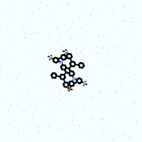 C[Si](C)(C)c1ccc2c(c1)c1cc([Si](C)(C)C)ccc1n2-c1ccc2c(-c3cc(-c4ccccc4)cc(-c4ccccc4)c3)c3cc(-n4c5ccc([Si](C)(C)C)cc5c5cc([Si](C)(C)C)ccc54)ccc3c(-c3cc(-c4ccccc4)cc(-c4ccccc4)c3)c2c1